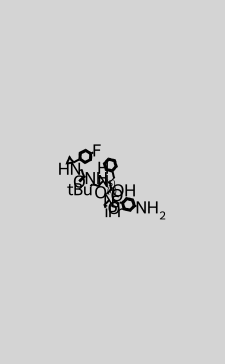 CC(C)CN(C[C@@H](O)[C@H](Cc1ccccc1)NC(=O)C(NC(=O)CNC1(c2ccc(F)cc2)CC1)C(C)(C)C)S(=O)(=O)c1ccc(N)cc1